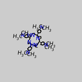 CN(C)c1ccc(-c2c3nc(c(-c4ccc(N(C)C)cc4)c4ccc([nH]4)c(-c4ccc(N(C)C)cc4)c4nc(c(-c5ccc(N(C)C)cc5)c5ccc2[nH]5)C=C4)C=C3)cc1